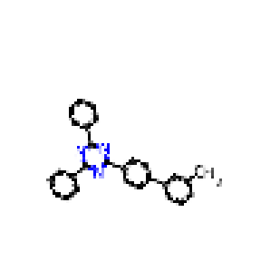 Cc1cccc(-c2ccc(-c3nc(-c4ccccc4)nc(-c4ccccc4)n3)cc2)c1